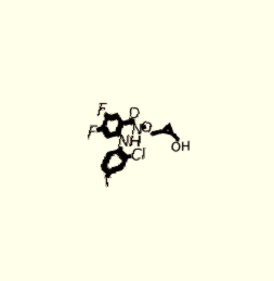 O=C(NOCC1CC1CO)c1cc(F)c(F)cc1Nc1ccc(I)cc1Cl